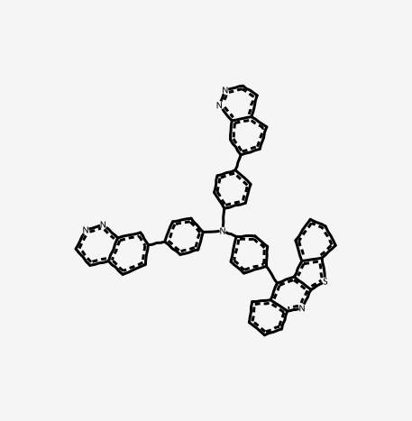 c1ccc2c(-c3ccc(N(c4ccc(-c5ccc6ccnnc6c5)cc4)c4ccc(-c5ccc6ccnnc6c5)cc4)cc3)c3c(nc2c1)sc1ccccc13